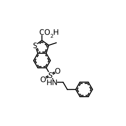 Cc1c(C(=O)O)sc2ccc(S(=O)(=O)NCCc3ccccc3)cc12